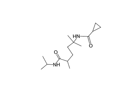 CC(C)NC(=O)C(C)CCC(C)(C)NC(=O)C1CC1